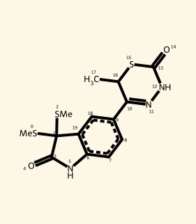 CSC1(SC)C(=O)Nc2ccc(C3=NNC(=O)SC3C)cc21